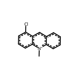 C[n+]1c2ccccc2cc2c(Cl)cccc21